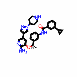 C[C@@H](Oc1cc(-c2cnn(C3CCNCC3)c2)cnc1N)c1cccc(NC(=O)c2cccc(C3CC3)c2)c1